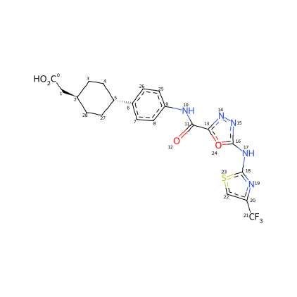 O=C(O)C[C@H]1CC[C@H](c2ccc(NC(=O)c3nnc(Nc4nc(C(F)(F)F)cs4)o3)cc2)CC1